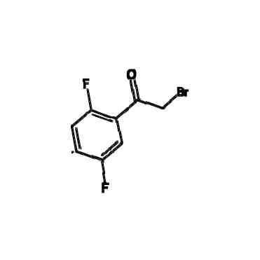 O=C(CBr)c1cc(F)[c]cc1F